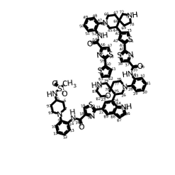 CS(=O)(=O)NC1CCN(c2ccccc2NC(=O)c2csc(-c3cc(C4CN(c5ccccc5NC(=O)c5csc(-c6cc(C7CN(c8ccccc8NC(=O)c8csc(-c9cccs9)n8)CCC78CCNC8)cs6)n5)CCC45CNCCO5)c4[nH]ccc4c3)n2)CC1